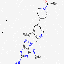 CCCCNc1nc(N)nc2cnn(Cc3ncc(C4CCN(C(=O)CC)CC4)cc3OC)c12